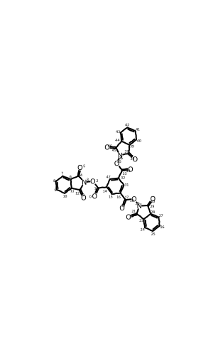 O=C(ON1C(=O)c2ccccc2C1=O)c1cc(C(=O)ON2C(=O)c3ccccc3C2=O)cc(C(=O)ON2C(=O)c3ccccc3C2=O)c1